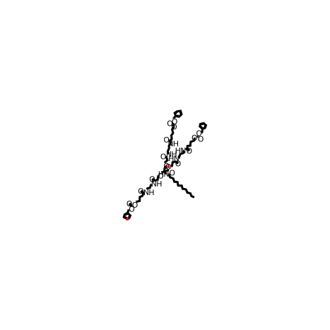 CCCCCCCCCCCCC(=O)NC(COCCC(=O)NCCCNC(=O)CCCCOC(=O)OCc1ccccc1)(COCCC(=O)NCCCNC(=O)CCCCOC(=O)OCc1ccccc1)COCCC(=O)NCCCNC(=O)CCCCOC(=O)OCc1ccccc1